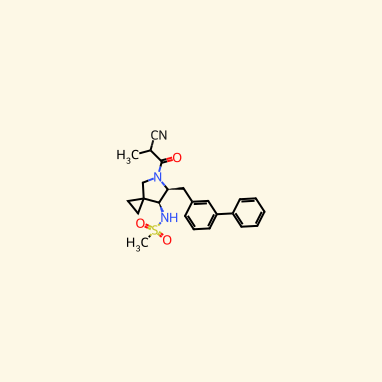 CC(C#N)C(=O)N1CC2(CC2)[C@H](NS(C)(=O)=O)[C@@H]1Cc1cccc(-c2ccccc2)c1